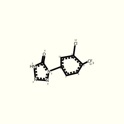 O=c1[nH]nnn1-c1ccc(C(F)(F)F)c(Cl)c1